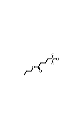 CCCOC(=O)CCC[Si](Cl)(Cl)Cl